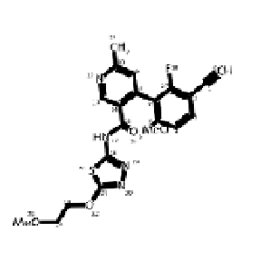 C#Cc1ccc(OC)c(-c2cc(C)ncc2C(=O)Nc2nnc(OCCOC)s2)c1F